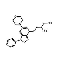 OCC(O)COC1N=C(N2CCOCC2)N=C2C1=CCN2c1ccccc1